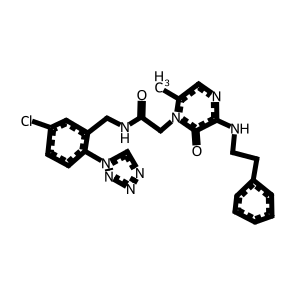 Cc1cnc(NCCc2ccccc2)c(=O)n1CC(=O)NCc1cc(Cl)ccc1-n1cnnn1